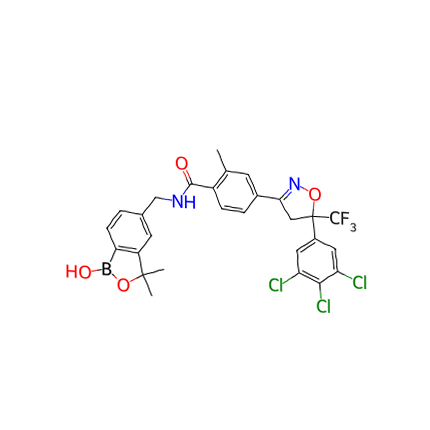 Cc1cc(C2=NOC(c3cc(Cl)c(Cl)c(Cl)c3)(C(F)(F)F)C2)ccc1C(=O)NCc1ccc2c(c1)C(C)(C)OB2O